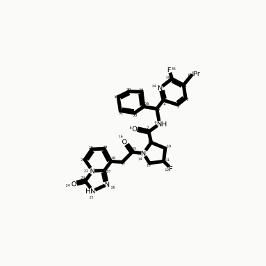 CC(C)c1ccc(C(NC(=O)C2CC(F)CN2C(=O)Cc2cccn3c(=O)[nH]nc23)c2ccccc2)nc1F